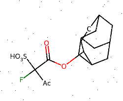 CC(=O)C(F)(C(=O)OC1CCC2CC3CC(C2)CC1C3)S(=O)(=O)O